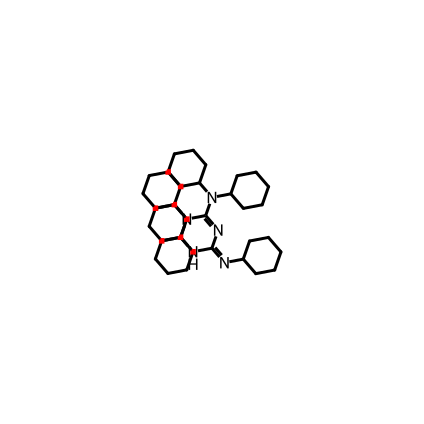 C1CCC(/N=C(\N=C(N(C2CCCCC2)C2CCCCC2)N(C2CCCCC2)C2CCCCC2)NC2CCCCC2)CC1